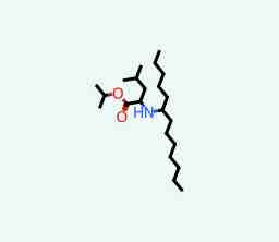 CCCCCCCC(CCCCC)NC(CC(C)C)C(=O)OC(C)C